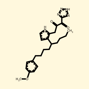 CCCCC(CCCCc1ccc(OC)cc1)c1cc[nH]c1CC(=O)C(=O)c1nn[nH]n1